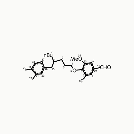 CCCCC(CCCOc1c(F)cc(C=O)cc1OC)Cc1ccc(C)c(C)c1